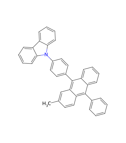 Cc1ccc2c(-c3ccccc3)c3ccccc3c(-c3ccc(-n4c5ccccc5c5ccccc54)cc3)c2c1